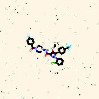 CCOc1c(C(=O)NN2CCN(C(=O)c3ccc(F)cc3)CC2)nn(-c2ccccc2Cl)c1-c1ccc(C(F)(F)F)cc1